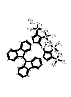 C[Si](C)(C)C1=CC[C]([Zr+2][C]2=C([Si](C)(C)C)C([Si](C)(C)C)=CC2)=C1[Si](C)(C)C.[Cl-].[Cl-].c1ccc2c(c1)-c1ccccc1C2C1c2ccccc2-c2ccccc21